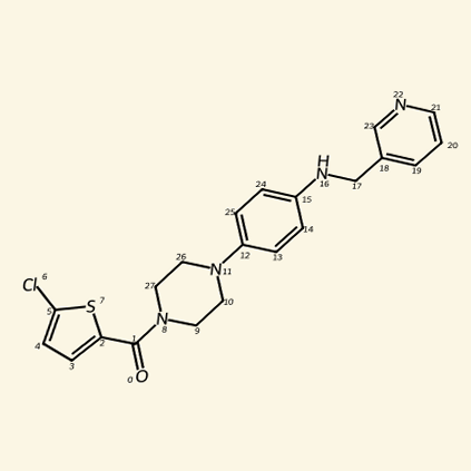 O=C(c1ccc(Cl)s1)N1CCN(c2ccc(NCc3cccnc3)cc2)CC1